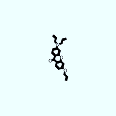 C=CCOc1ccc2c(=O)c3ccc(N(CC=C)CC=C)cc3oc2c1